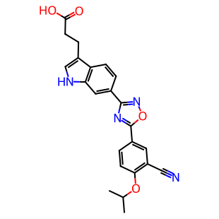 CC(C)Oc1ccc(-c2nc(-c3ccc4c(CCC(=O)O)c[nH]c4c3)no2)cc1C#N